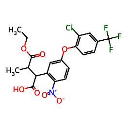 CCOC(=O)C(C)C(C(=O)O)c1cc(Oc2ccc(C(F)(F)F)cc2Cl)ccc1[N+](=O)[O-]